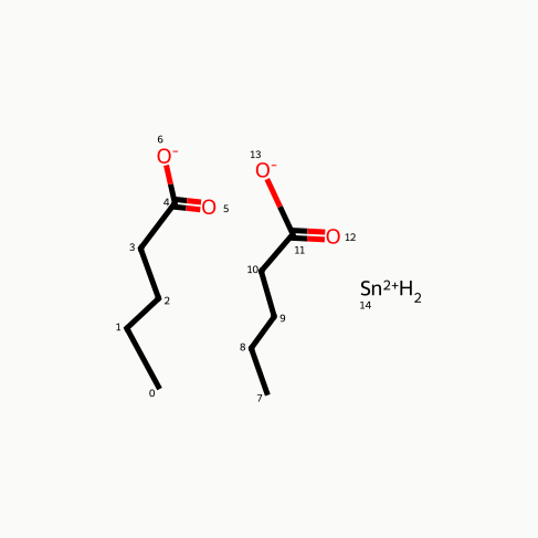 CCCCC(=O)[O-].CCCCC(=O)[O-].[SnH2+2]